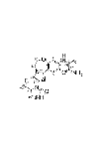 C[C@H](Nc1ccc2c(c1)OCCn1cc(N3C(=O)NCC3C(F)F)nc1-2)C(N)=O